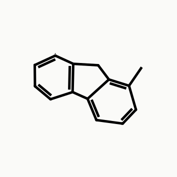 Cc1cccc2c1Cc1[c]cccc1-2